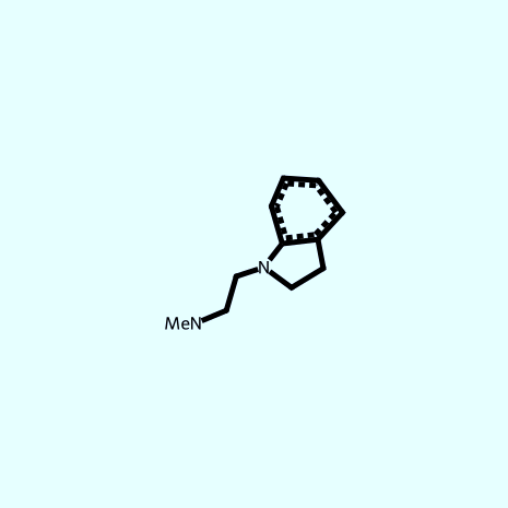 CNCCN1CCc2ccccc21